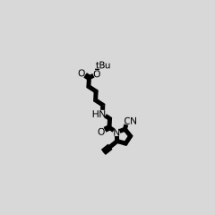 C#CC1CCC(C#N)N1C(=O)CNCCCCC(=O)OC(C)(C)C